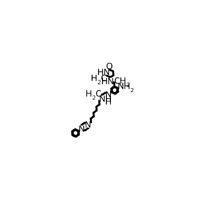 C=C(CNc1ccc(N)c(C(=C)NC2CCC(=O)NC2=C)c1)NCCCCCCCCN1CCN(c2ccccc2)CC1